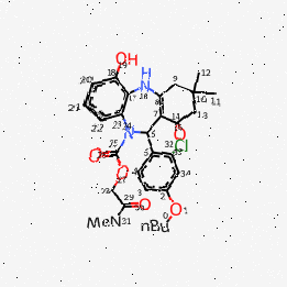 CCCCOc1ccc(C2C3=C(CC(C)(C)CC3=O)Nc3c(O)cccc3N2C(=O)OCC(=O)NC)c(Cl)c1